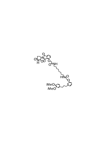 COc1ccc(CCCc2cccc(OCC(=O)NCCCCCCCCNC(=O)COc3cccc4c3C(=O)N(C3CCC(=O)NC3=O)C4=O)c2)cc1OC